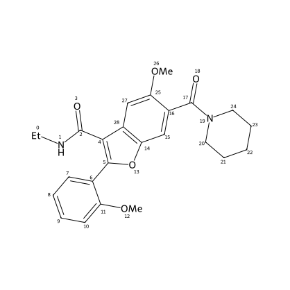 CCNC(=O)c1c(-c2ccccc2OC)oc2cc(C(=O)N3CCCCC3)c(OC)cc12